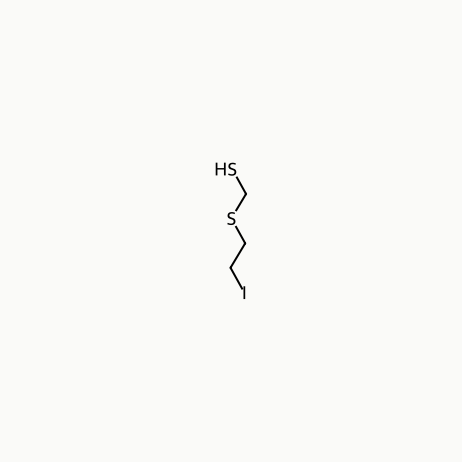 SCSCCI